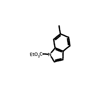 CCOC(=O)n1ccc2ccc(C)cc21